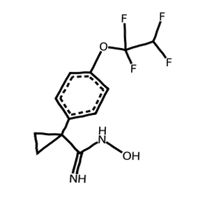 N=C(NO)C1(c2ccc(OC(F)(F)C(F)F)cc2)CC1